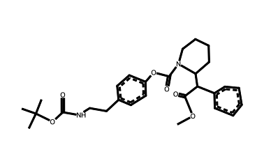 COC(=O)C(c1ccccc1)C1CCCCN1C(=O)Oc1ccc(CCNC(=O)OC(C)(C)C)cc1